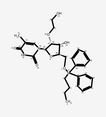 CCCC[Si](OC[C@H]1O[C@@H](n2cc(C)c(=O)[nH]c2=O)[C@H](OCCO)[C@@H]1O)(c1ccccc1)c1ccccc1